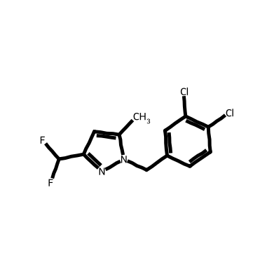 Cc1cc(C(F)F)nn1Cc1ccc(Cl)c(Cl)c1